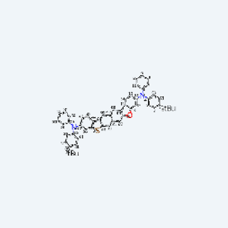 CC(C)(C)c1ccc(N(c2ccccc2)c2ccc3c(c2)oc2cc4cc5sc6cc(N(c7ccccc7)c7ccc(C(C)(C)C)cc7)ccc6c5cc4cc23)cc1